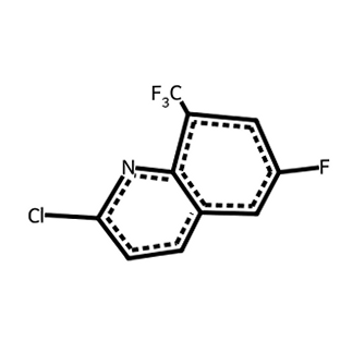 Fc1cc(C(F)(F)F)c2nc(Cl)ccc2c1